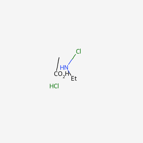 CC(=O)O.CCNCl.Cl